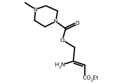 CCOC(=O)/C=C(\N)COC(=O)N1CCN(C)CC1